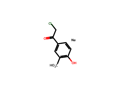 O=C(CCl)c1ccc(O)c(C(=O)O)c1.[Na]